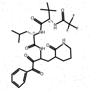 CC(C)C[C@H](NC(=O)[C@@H](NC(=O)C(F)(F)F)C(C)(C)C)C(=O)NC(CC1CCCNC1=O)C(=O)C(=O)c1ccccc1